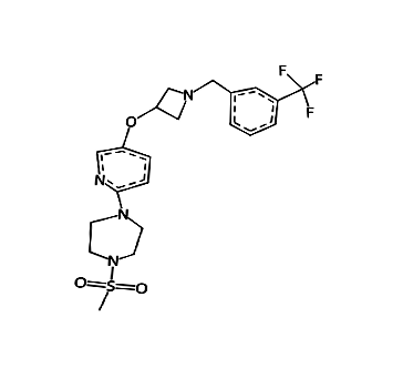 CS(=O)(=O)N1CCN(c2ccc(OC3CN(Cc4cccc(C(F)(F)F)c4)C3)cn2)CC1